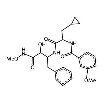 CONC(=O)C(O)C(Cc1ccccc1)NC(=O)C(CC1CC1)NC(=O)c1cccc(OC)c1